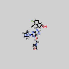 C#Cc1c(F)ccc2cc(O)cc(Cn3cnc4c(OCCN5CC6CC5CO6)nc(N5C[C@H]6CC[C@@H](C5)N6)nc43)c12